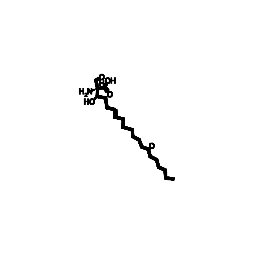 CCCCCCC(=O)CCCCCC/C=C/CC[C@H](O)[C@@](N)(CO)C(=O)O